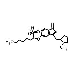 CCCCCCC(Oc1ccc2[nH]cc(CC3CCCN3C)c2c1)S(N)(=O)=O